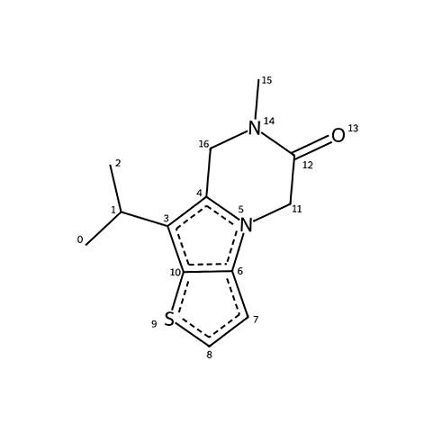 CC(C)c1c2n(c3ccsc13)CC(=O)N(C)C2